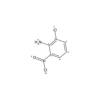 Nc1c(Cl)cccc1C(=O)Cl